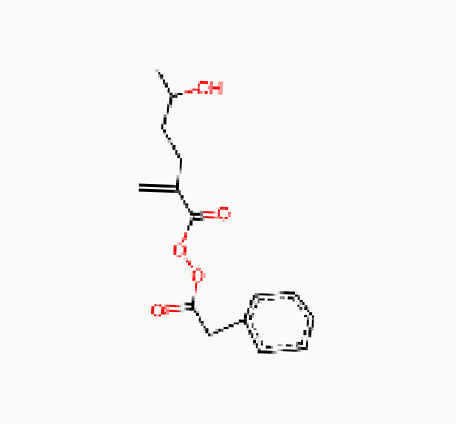 C=C(CCC(C)O)C(=O)OOC(=O)Cc1ccccc1